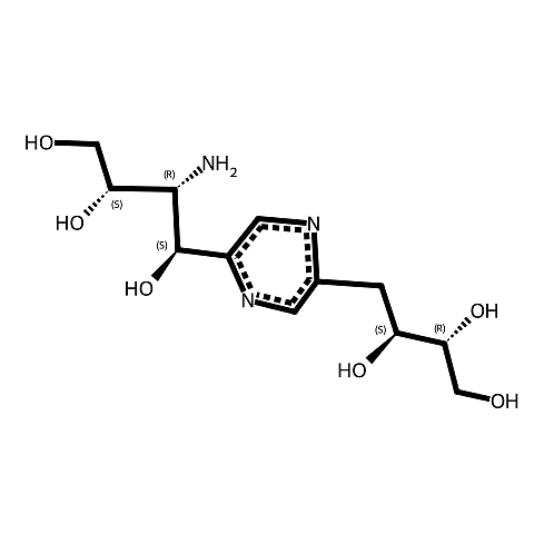 N[C@@H]([C@H](O)CO)[C@H](O)c1cnc(C[C@H](O)[C@H](O)CO)cn1